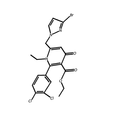 CCOC(=O)c1c(-c2ccc(Cl)c(Cl)c2)n(CC)c(Cn2ccc(Br)n2)cc1=O